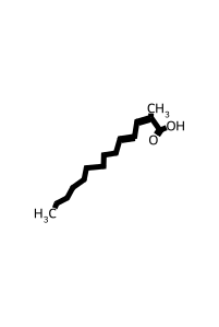 CCCCCCCCCC=CC=C(C)C(=O)O